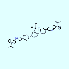 C=C(C)C(=O)O/C=C\Oc1ccc(-c2ccc(-c3ccc(O/C=C\OC(=O)C(=C)C)cc3)c(C(F)(F)F)c2)cc1